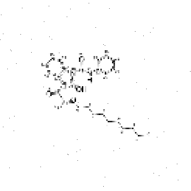 CCCCCCCCCCOC(C)C(=O)c1c(O)n(C(=O)Nc2ccccc2)c2ccccc12